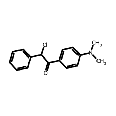 CN(C)c1ccc(C(=O)C(Cl)c2ccccc2)cc1